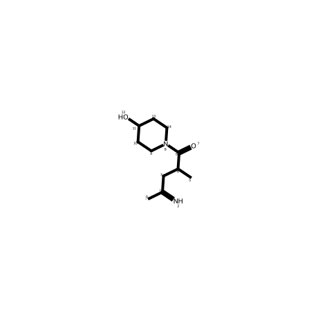 [CH2]C(=N)CC(C)C(=O)N1CCC(O)CC1